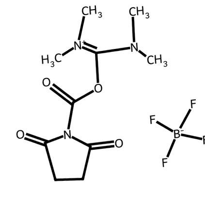 CN(C)C(OC(=O)N1C(=O)CCC1=O)=[N+](C)C.F[B-](F)(F)F